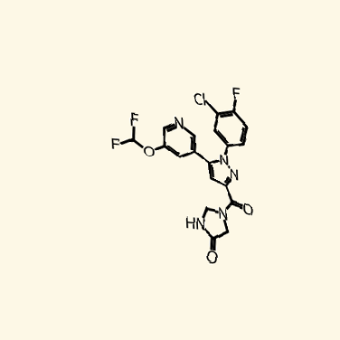 O=C1CN(C(=O)c2cc(-c3cncc(OC(F)F)c3)n(-c3ccc(F)c(Cl)c3)n2)CN1